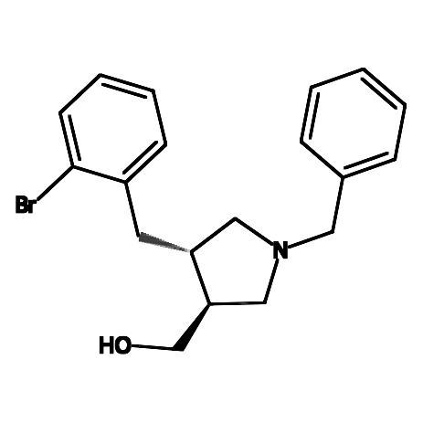 OC[C@@H]1CN(Cc2ccccc2)C[C@H]1Cc1ccccc1Br